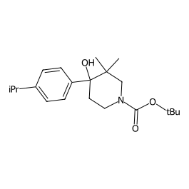 CC(C)c1ccc(C2(O)CCN(C(=O)OC(C)(C)C)CC2(C)C)cc1